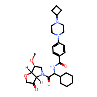 CCO[C@H]1CN(C(=O)[C@@H](NC(=O)c2ccc(N3CCN(C4CCC4)CC3)cc2)C2CCCCC2)[C@@H]2C(=O)CO[C@H]12